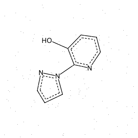 Oc1cccnc1-n1cccn1